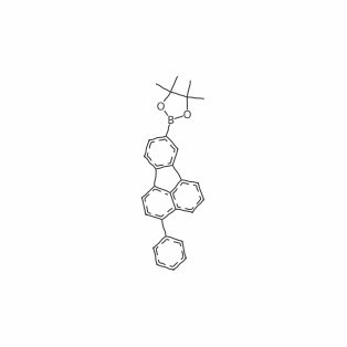 CC1(C)OB(c2ccc3c(c2)-c2cccc4c(-c5ccccc5)ccc-3c24)OC1(C)C